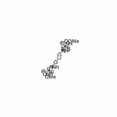 COC(=O)N[C@H](C(=O)N1CCC[C@H]1c1ncc(-c2ccc(-c3ccc4cc(-c5cnc([C@@H]6CSCCN6C(=O)[C@@H](NC(=O)OC)C(C)C)[nH]5)ccc4c3)cc2)[nH]1)C(C)C